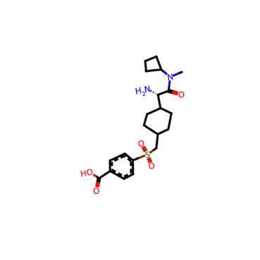 CN(C(=O)[C@@H](N)C1CCC(CS(=O)(=O)c2ccc(C(=O)O)cc2)CC1)C1CCC1